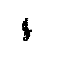 CCCn1c(C[N]C(=O)CCCc2cc(F)ccc2F)nc2cc(CCl)ccc21